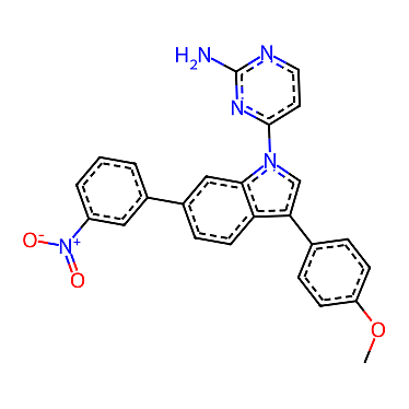 COc1ccc(-c2cn(-c3ccnc(N)n3)c3cc(-c4cccc([N+](=O)[O-])c4)ccc23)cc1